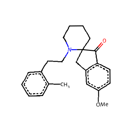 COc1ccc2c(c1)CC1(CCCCN1CCc1ccccc1C)C2=O